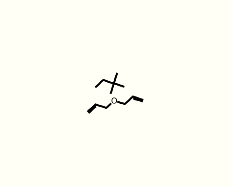 C=CCOCC=C.CCC(C)(C)C